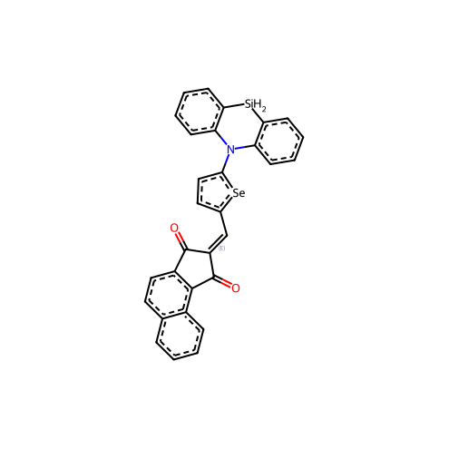 O=C1/C(=C\c2ccc(N3c4ccccc4[SiH2]c4ccccc43)[se]2)C(=O)c2c1ccc1ccccc21